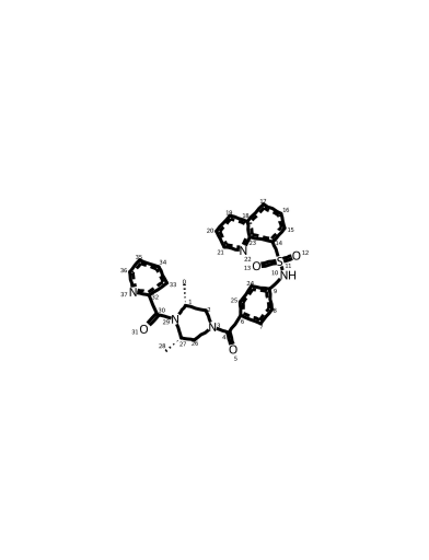 C[C@@H]1CN(C(=O)c2ccc(NS(=O)(=O)c3cccc4cccnc34)cc2)C[C@H](C)N1C(=O)c1ccccn1